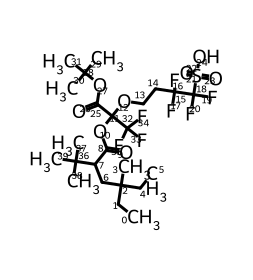 CCC(C)(CC)CC(C(=O)OC(OCCC(F)(F)C(F)(F)S(=O)(=O)O)(C(=O)OC(C)(C)C)C(F)(F)F)C(C)(C)C